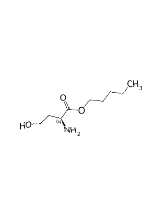 CCCCCOC(=O)[C@@H](N)CCO